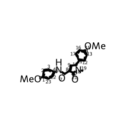 COc1ccc(NC(=O)C2=CC(c3ccc(OC)cc3)N(C)C2=O)cc1